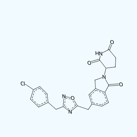 O=C1CCC(N2Cc3cc(Cc4nc(Cc5ccc(Cl)cc5)no4)ccc3C2=O)C(=O)N1